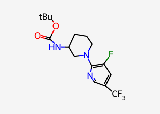 CC(C)(C)OC(=O)NC1CCCN(c2ncc(C(F)(F)F)cc2F)C1